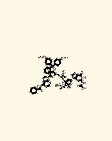 [BH3-][P+](OCCC#N)(OC[C@H]1OC(n2cnc3c(NC(=O)c4ccccc4)ncnc32)[C@@H](C)[C@H]1OC(c1ccccc1)(c1ccc(OC)cc1)c1ccc(OC)cc1)O[C@@H]1[C@H](n2cnc3c(=O)[nH]c(NC(=O)C(C)C)nc32)OC(CC)[C@@H]1O[Si](C)(C)C(C)(C)C